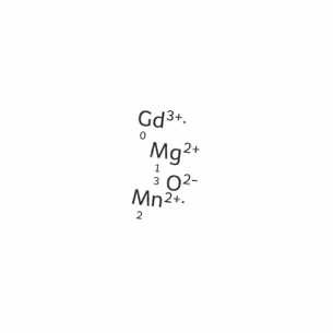 [Gd+3].[Mg+2].[Mn+2].[O-2]